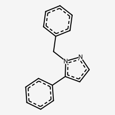 c1ccc(Cn2nccc2-c2ccccc2)cc1